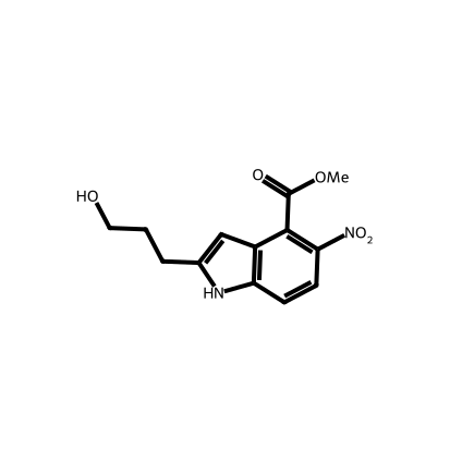 COC(=O)c1c([N+](=O)[O-])ccc2[nH]c(CCCO)cc12